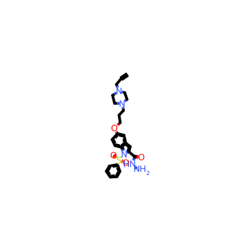 C#CCN1CCN(CCCOc2ccc3c(c2)cc(C(=O)NN)n3S(=O)(=O)c2ccccc2)CC1